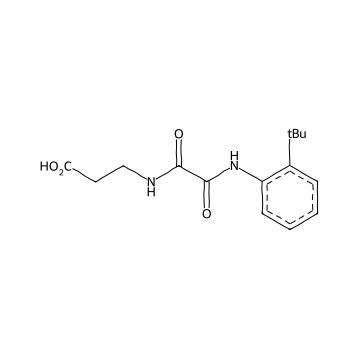 CC(C)(C)c1ccccc1NC(=O)C(=O)NCCC(=O)O